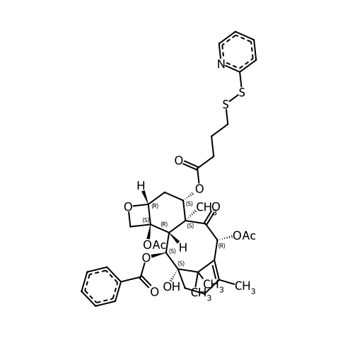 CC(=O)O[C@H]1C(=O)[C@]2(C)[C@@H](OC(=O)CCCSSc3ccccn3)C[C@H]3OC[C@@]3(OC(C)=O)[C@H]2[C@H](OC(=O)c2ccccc2)[C@]2(O)CCC(C)=C1C2(C)C